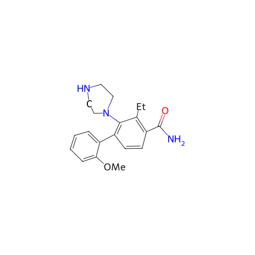 CCc1c(C(N)=O)ccc(-c2ccccc2OC)c1N1CCNCC1